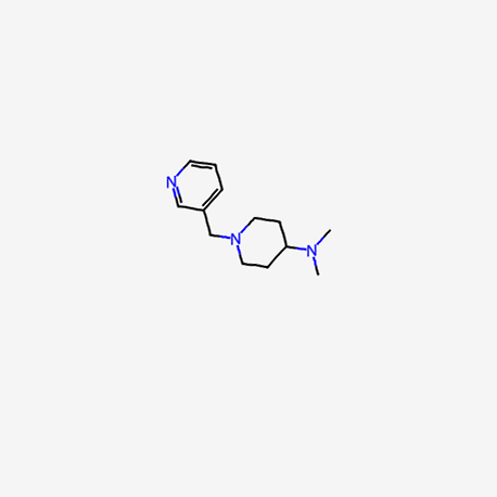 CN(C)C1CCN(Cc2cccnc2)CC1